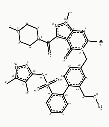 CCCCc1nc2c(c(C(=O)N3CCN(C)CC3)nn2C)c(=O)n1Cc1ccc(-c2ccccc2S(=O)(=O)Nc2noc(C)c2C)c(COCC)c1